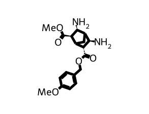 COC(=O)[C@@H]1C2CC([C@H]1N)[C@@H](N)[C@@H]2C(=O)OCc1ccc(OC)cc1